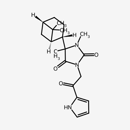 CN1C(=O)N(CC(=O)c2ccc[nH]2)C(=O)C1(C)[C@H]1CC[C@H]2C[C@H]1C2(C)C